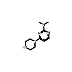 CN(C)c1nccc(N2CCNCC2)n1